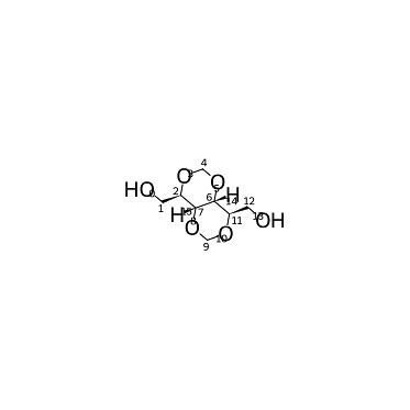 OC[C@H]1OCO[C@H]2[C@@H]1OCO[C@@H]2CO